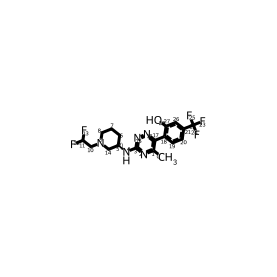 Cc1nc(N[C@@H]2CCCN(CC(F)F)C2)nnc1-c1ccc(C(F)(F)F)cc1O